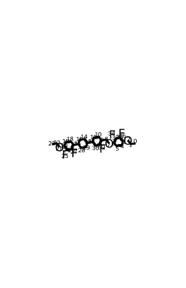 CCOc1ccc(OCc2ccc(C3=CCC(c4ccc(OCC)c(F)c4F)CC3)cc2F)c(F)c1F